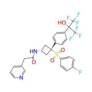 O=C(Cc1cccnc1)N[C@H]1C[C@@](c2ccc(C(O)(C(F)(F)F)C(F)(F)F)cc2)(S(=O)(=O)c2ccc(F)cc2)C1